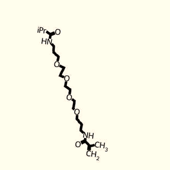 C=C(C)C(=O)NCCCOCCOCCOCCOCCCNC(=O)C(C)C